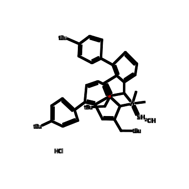 CC(C)(C)CC1=Cc2c(-c3ccc(C(C)(C)C)cc3)cccc2[CH]1[Zr]([CH3])([CH3])(=[SiH2])[CH]1C(CC(C)(C)C)=Cc2c(-c3ccc(C(C)(C)C)cc3)cccc21.Cl.Cl